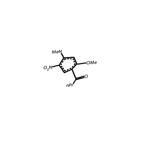 CCCC(=O)c1cc([N+](=O)[O-])c(NC)cc1OC